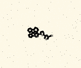 N#Cc1cncc(-c2cccc(-c3ccc4c(c3)C3(c5ccccc5-c5ccccc53)c3ccccc3-4)n2)c1